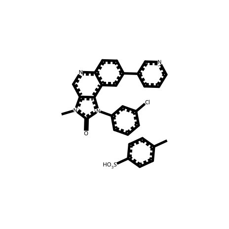 Cc1ccc(S(=O)(=O)O)cc1.Cn1c(=O)n(-c2cccc(Cl)c2)c2c3cc(-c4cccnc4)ccc3ncc21